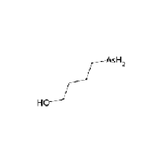 OCCCC[AsH2]